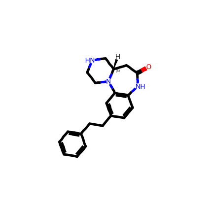 O=C1C[C@H]2CNCCN2c2cc(CCc3ccccc3)ccc2N1